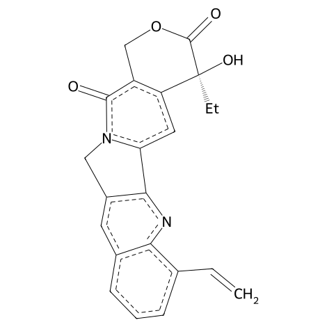 C=Cc1cccc2cc3c(nc12)-c1cc2c(c(=O)n1C3)COC(=O)[C@]2(O)CC